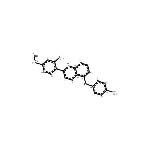 CCC(C)Nc1cc(C(F)(F)F)c(-c2cnc3c(Nc4ccc(C(F)(F)F)cn4)ccnc3n2)nn1